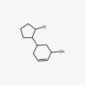 OC1C=CCN(C2CCCC2Cl)C1